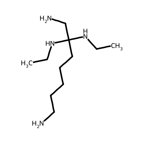 CCNC(CN)(CCCCCN)NCC